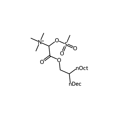 CCCCCCCCCCC(CCCCCCCC)COC(=O)C(OS(C)(=O)=O)[N+](C)(C)C